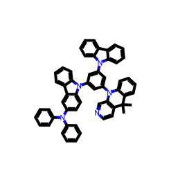 CC1(C)c2ccccc2N(c2cc(-n3c4ccccc4c4ccccc43)cc(-n3c4ccccc4c4cc(N(c5ccccc5)c5ccccc5)ccc43)c2)c2cnccc21